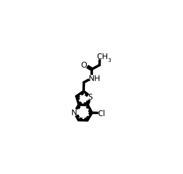 CCC(=O)NCc1cc2nccc(Cl)c2s1